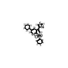 O=S(=O)(c1ccccc1)n1cc(-c2cscn2)c2cc(C3CCCCC3)cnc21